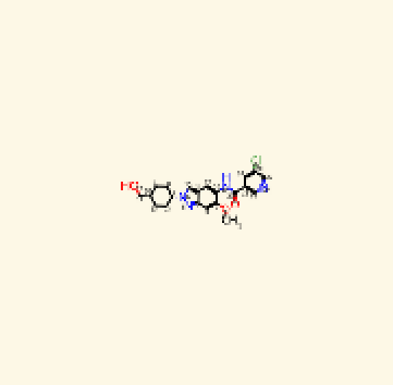 COc1cc2nn([C@H]3CC[C@H](CO)CC3)cc2cc1NC(=O)c1cncc(Cl)c1